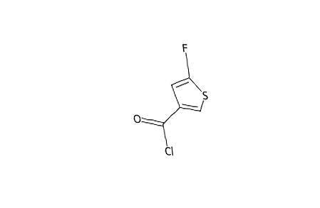 O=C(Cl)c1csc(F)c1